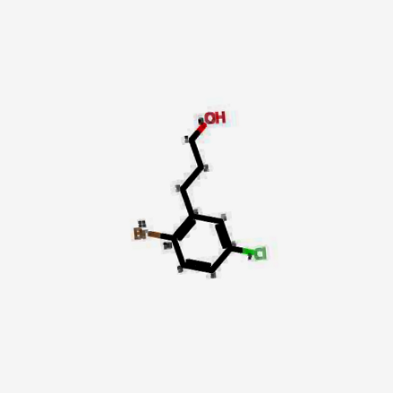 OCCCc1cc(Cl)ccc1Br